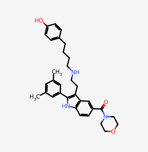 Cc1cc(C)cc(-c2[nH]c3ccc(C(=O)N4CCOCC4)cc3c2CCNCCCCc2ccc(O)cc2)c1